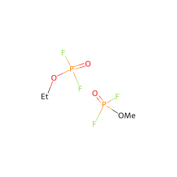 CCOP(=O)(F)F.COP(=O)(F)F